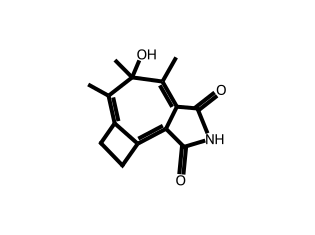 CC1=C2CCC2=C2C(=O)NC(=O)C2=C(C)C1(C)O